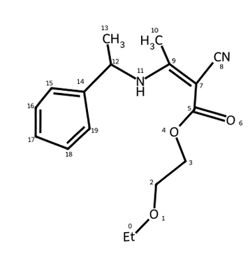 CCOCCOC(=O)C(C#N)=C(C)NC(C)c1ccccc1